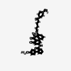 Cc1ccc(-c2ccccc2C(=O)Nc2ccc(C(=O)N(C)c3ccccc3OCCCCCC(=O)N3CCN(C)CC3)c(Cl)c2)cc1